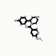 Cc1ccc(C(=O)N2CCNCC2c2ccc(F)cc2)cn1